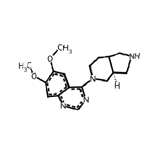 COc1cc2ncnc(N3CCC4CNC[C@H]4C3)c2cc1OC